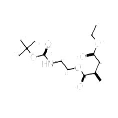 C=C(CC(=O)OCC)C(=O)OCCNC(=O)OC(C)(C)C